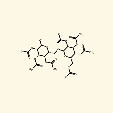 CC(=O)OC[C@H]1O[C@@H](OC[C@H]2OC(O)[C@H](OC(C)=O)[C@@H](OC(C)=O)[C@@H]2OC(C)=O)C(OC(C)=O)[C@@H](OC(C)=O)[C@@H]1OC(C)=O